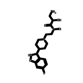 CCN(CCN1CCC(C2NOc3cc(F)ccc32)CC1)C(=O)C(O)CN